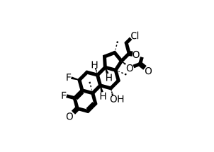 CC(=O)O[C@@]1(C(=O)CCl)[C@@H](C)C[C@H]2[C@@H]3C[C@H](F)C4=C(F)C(=O)C=C[C@]4(C)[C@H]3[C@@H](O)C[C@@]21C